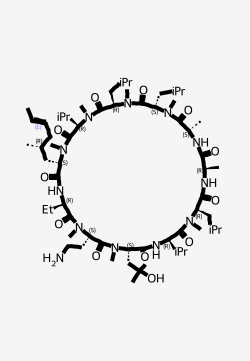 C/C=C/C[C@@H](C)C[C@H]1C(=O)N[C@H](CC)C(=O)N(C)[C@@H](CCN)C(=O)N(C)[C@@H](CC(C)(C)O)C(=O)N[C@H](C(C)C)C(=O)N(C)[C@H](CC(C)C)C(=O)N[C@H](C)C(=O)N[C@@H](C)C(=O)N(C)[C@@H](CC(C)C)C(=O)N(C)[C@H](CC(C)C)C(=O)N(C)[C@H](C(C)C)C(=O)N1C